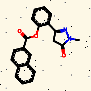 CN1N=C(c2ccccc2OC(=O)c2ccc3ccccc3c2)CC1=O